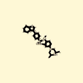 COc1ccc(N2CC(C)NC(C)C2)cc1NS(=O)(=O)c1ccc(-c2csc3ccccc23)cc1